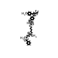 Cc1ccc(-c2cc(C(F)(F)F)nn2-c2ccc(S(=O)(=O)NC(=O)OCCCCCN(C)[N+]([O-])=NOC(C)OC(=O)c3ccccc3)cc2)cc1